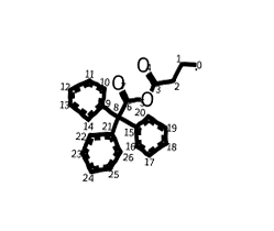 [CH2]CCC(=O)OC(=O)C(c1ccccc1)(c1ccccc1)c1ccccc1